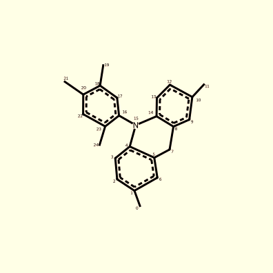 Cc1ccc2c(c1)Cc1cc(C)ccc1N2c1cc(C)c(C)cc1C